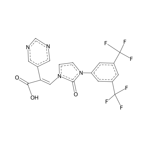 O=C(O)/C(=C/n1ccn(-c2cc(C(F)(F)F)cc(C(F)(F)F)c2)c1=O)c1cncnc1